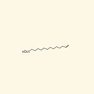 C=CCCCCCCCCCCCCCCCCCCC